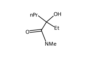 CCCC(O)(CC)C(=O)NC